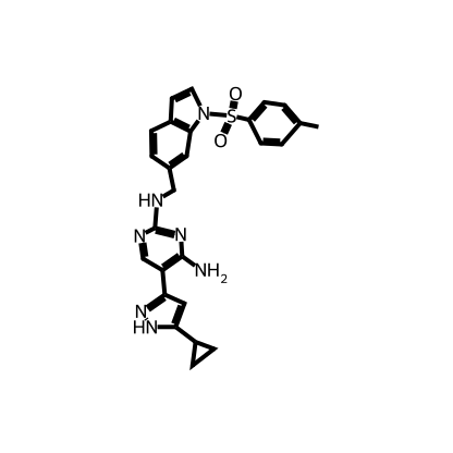 Cc1ccc(S(=O)(=O)n2ccc3ccc(CNc4ncc(-c5cc(C6CC6)[nH]n5)c(N)n4)cc32)cc1